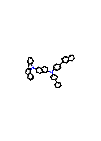 c1ccc(-c2ccc(N(c3ccc(-c4ccc5ccccc5c4)cc3)c3ccc4cc(-n5c6ccccc6c6ccc7ccccc7c65)ccc4c3)cc2)cc1